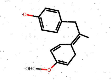 CC(Cc1ccc([O])cc1)=C1C=CC(O[C]=O)=CC1